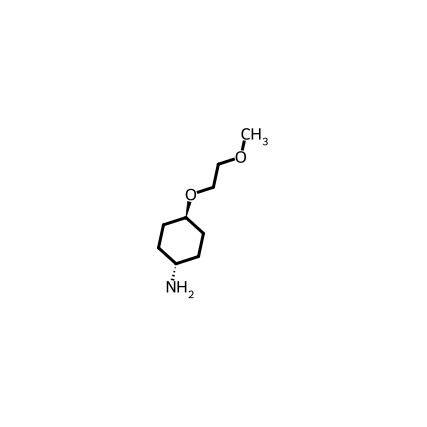 COCCO[C@H]1CC[C@H](N)CC1